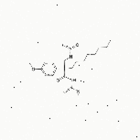 CCCCCCCCC(CN=S(=O)=O)(C(=O)NC(=O)NC)c1ccc(OC)cc1